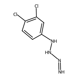 N=NNNc1ccc(Cl)c(Cl)c1